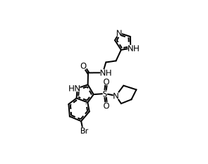 O=C(NCCc1cnc[nH]1)c1[nH]c2ccc(Br)cc2c1S(=O)(=O)N1CCCC1